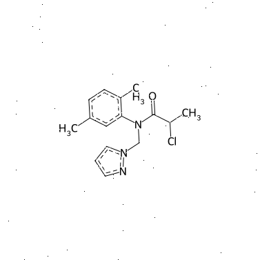 Cc1ccc(C)c(N(Cn2cccn2)C(=O)C(C)Cl)c1